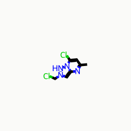 CC1=NC2=CN(CCl)NN2C(Cl)=C1